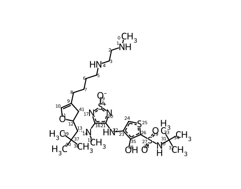 CNCCNCCCCC1=COC([C@H](N(C)c2n[s+]([O-])nc2Nc2csc(S(=O)(=O)NC(C)(C)C)c2O)C(C)(C)C)C1